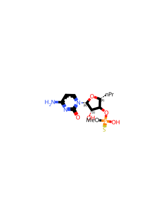 CCC[C@H]1O[C@@H](n2ccc(N)nc2=O)[C@@H](O)C1OP(O)(=S)OC